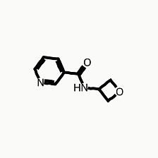 O=C(NC1COC1)c1cccnc1